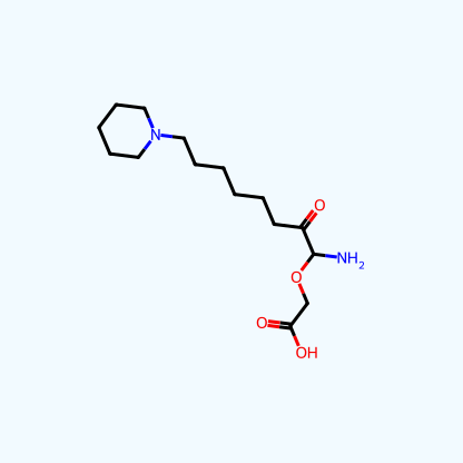 NC(OCC(=O)O)C(=O)CCCCCCN1CCCCC1